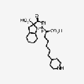 CCC(=O)C1(C(=O)O)CC2CCCCC2N1NC(CCCCCC1CCNCC1)C(=O)O